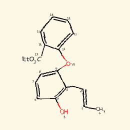 CC=Cc1c(O)cccc1Oc1ccccc1C(=O)OCC